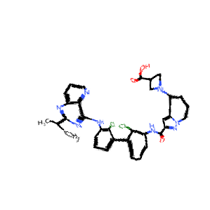 CC(C)c1nc(Nc2cccc(-c3cccc(NC(=O)c4cc5n(n4)CCC[C@@H]5N4CC(C(=O)O)C4)c3Cl)c2Cl)c2ncccc2n1